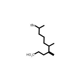 C=C(CCC(=O)O)C(C)CCCC(C)C(C)(C)C